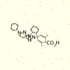 CC1=CC(c2ccccc2Nc2ccn(-c3ccccc3)n2)([N+](=O)[O-])C=C(C)C1C(=O)O